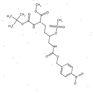 COC(=O)C(CCC(CNC(=O)OCc1ccc([N+](=O)[O-])cc1)OS(C)(=O)=O)NC(=O)OC(C)(C)C